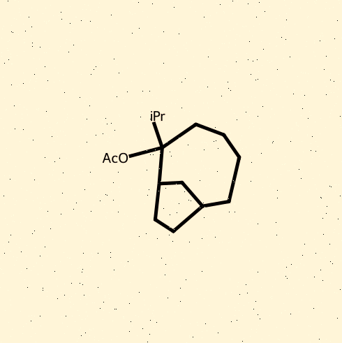 CC(=O)OC1(C(C)C)CCCCC2CCC1C2